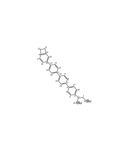 CC(C)(C)CC(c1ccc(-c2ccc(-c3ccc(-c4ccc5c(c4)CC5)cc3)cc2)cc1)C(C)(C)C